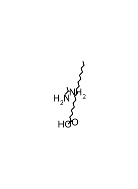 CC(N)CN.CCCCCCCCCCCCCCCCCC(=O)O